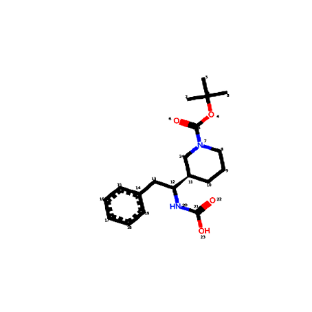 CC(C)(C)OC(=O)N1CCC[C@@H](C(Cc2ccccc2)NC(=O)O)C1